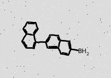 Bc1ccc2cc(-c3cccc4ccccc34)ccc2c1